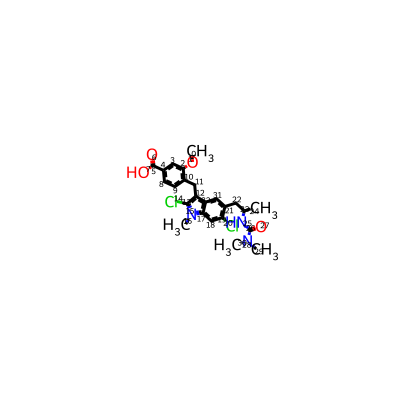 COc1cc(C(=O)O)ccc1Cc1c(Cl)n(C)c2cc(Cl)c(CC(C)NC(=O)N(C)C)cc12